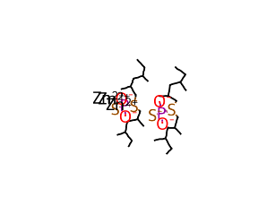 CCC(C)CC(C)CS(CC(C)CC(C)CC)=P([O-])([O-])[S-].CCC(C)CC(C)CS(CC(C)CC(C)CC)=P([O-])([O-])[S-].[Zn+2].[Zn+2].[Zn+2]